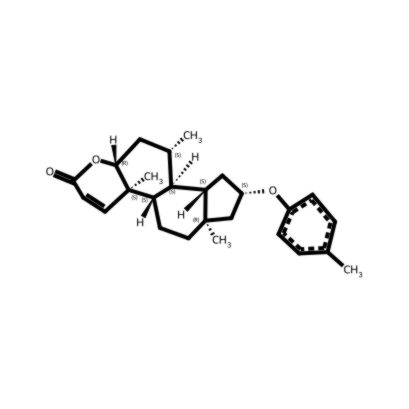 Cc1ccc(O[C@H]2C[C@H]3[C@@H]4[C@@H](C)C[C@H]5OC(=O)C=C[C@]5(C)[C@H]4CC[C@]3(C)C2)cc1